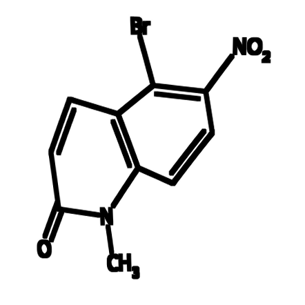 Cn1c(=O)ccc2c(Br)c([N+](=O)[O-])ccc21